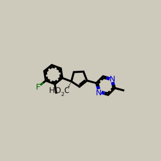 Cc1cnc(C2=C[C@@](C(=O)O)(c3cccc(F)c3C)CC2)cn1